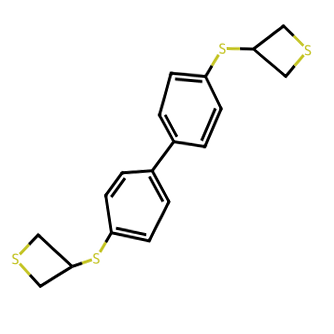 c1cc(-c2ccc(SC3CSC3)cc2)ccc1SC1CSC1